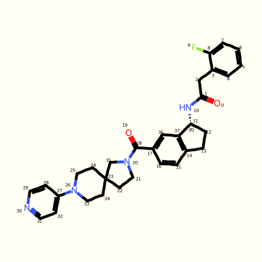 O=C(Cc1ccccc1F)N[C@@H]1CCc2ccc(C(=O)N3CCC4(CCN(c5ccncc5)CC4)C3)cc21